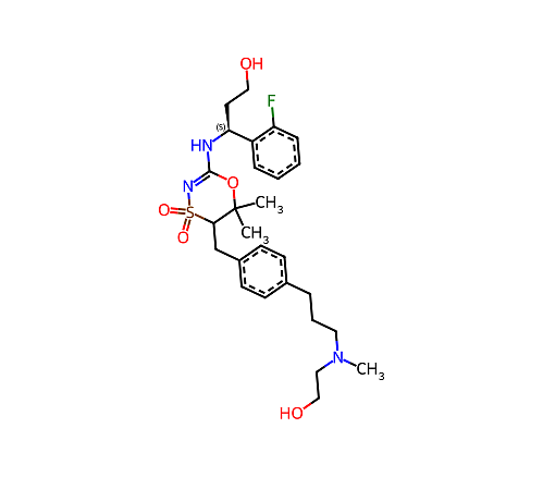 CN(CCO)CCCc1ccc(CC2C(C)(C)OC(N[C@@H](CCO)c3ccccc3F)=NS2(=O)=O)cc1